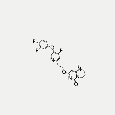 CN1CCCn2c1cc(OCCc1cc(F)c(Oc3ccc(F)c(F)c3)cn1)nc2=O